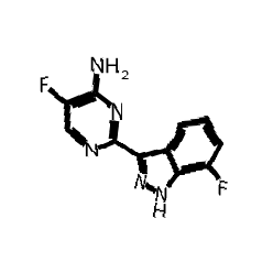 Nc1nc(-c2n[nH]c3c(F)cccc23)ncc1F